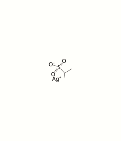 CC(C)S(=O)(=O)[O-].[Ag+]